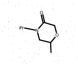 CC1CN(C(C)C)C(=O)CO1